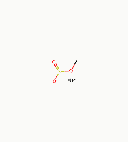 COS(=O)[O-].[Na+]